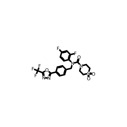 O=C(N1CCS(=O)(=O)CC1)N(Cc1ccc(-c2nnc(C(F)(F)F)o2)cc1)c1ccc(F)cc1F